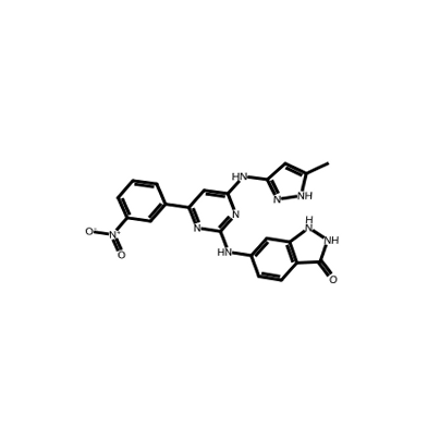 Cc1cc(Nc2cc(-c3cccc([N+](=O)[O-])c3)nc(Nc3ccc4c(=O)[nH][nH]c4c3)n2)n[nH]1